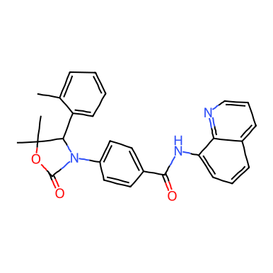 Cc1ccccc1C1N(c2ccc(C(=O)Nc3cccc4cccnc34)cc2)C(=O)OC1(C)C